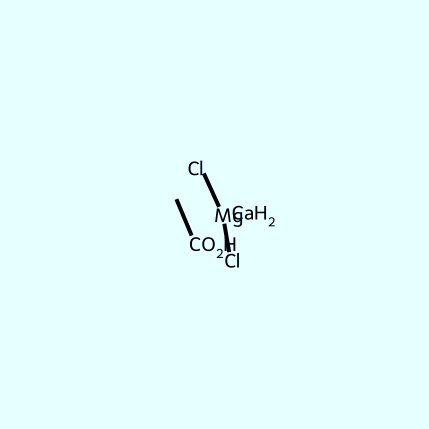 CC(=O)O.[CaH2].[Cl][Mg][Cl]